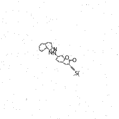 C[Si](C)(C)C#Cc1cc2ccc(-n3nc4ccc5ccccc5c4n3)cc2oc1=O